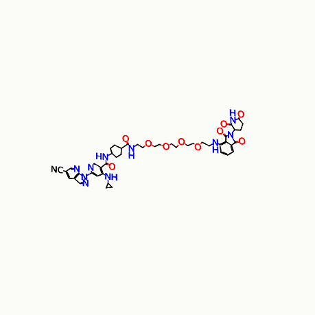 N#Cc1cnc2c(cnn2-c2cc(NC3CC3)c(C(=O)NC3CCC(C(=O)NCCOCCOCCOCCOCCNc4cccc5c4C(=O)N(C4CCC(=O)NC4=O)C5=O)CC3)cn2)c1